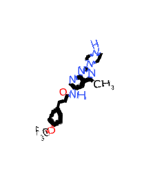 Cc1nc(N2CCNCC2)nc2ncc(NC(=O)CCc3ccc(OC(F)(F)F)cc3)cc12